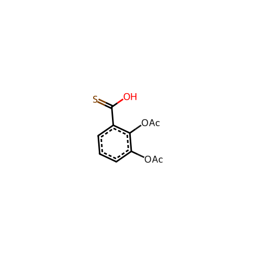 CC(=O)Oc1cccc(C(O)=S)c1OC(C)=O